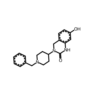 O=C1Nc2cc(O)ccc2CN1C1CCN(Cc2ccccc2)CC1